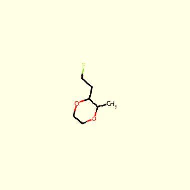 CC1OCCOC1CCF